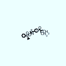 CCC(CC)C(=O)N1CCC(c2nc(OC(=O)N(C3CCCCC3)C3CC3)cs2)CC1